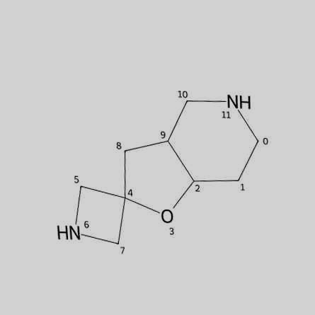 C1CC2OC3(CNC3)CC2CN1